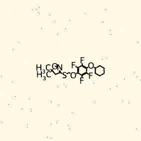 CC1(C)CC(SCOc2c(F)c(F)c(OC3CCCCC3)c(F)c2F)=NO1